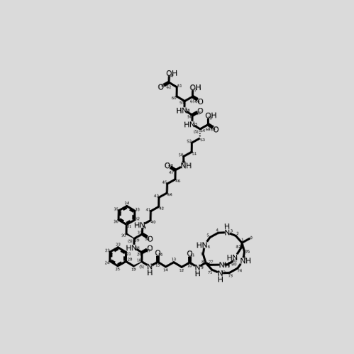 CC12CNCCNCC(NC(=O)CCCC(=O)N[C@@H](Cc3ccccc3)C(=O)N[C@@H](Cc3ccccc3)C(=O)NCCCCCCCC(=O)NCCCC[C@H](NC(=O)NC(CCC(=O)O)C(=O)O)C(=O)O)(CNCCNC1)CNCCNC2